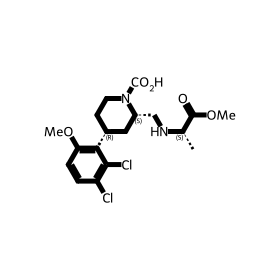 COC(=O)[C@H](C)NC[C@@H]1C[C@H](c2c(OC)ccc(Cl)c2Cl)CCN1C(=O)O